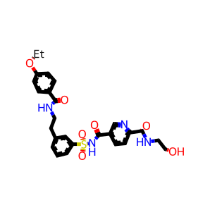 CCOc1ccc(C(=O)NCCc2cccc(S(=O)(=O)NC(=O)c3ccc(C(=O)NCCO)nc3)c2)cc1